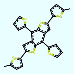 Cc1ccc(-c2cc3c(-c4cccs4)c4sc(-c5ccc(C)s5)cc4c(-c4cccs4)c3s2)s1